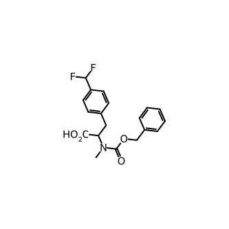 CN(C(=O)OCc1ccccc1)C(Cc1ccc(C(F)F)cc1)C(=O)O